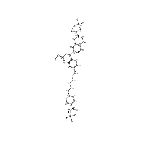 COC(=O)CC(c1ccc(OCCCCOc2ccc(C(=O)OC(C)(C)C)cc2)nc1)c1ccc2c(c1)CN(C(=O)OC(C)(C)C)CC2